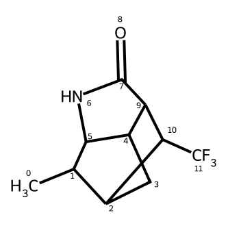 CC1C2CC3C1NC(=O)C3C2C(F)(F)F